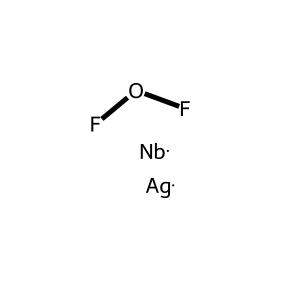 FOF.[Ag].[Nb]